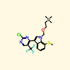 CSc1cccc2c(-c3nc(Cl)ncc3C(F)(F)F)cn(COCC[Si](C)(C)C)c12